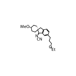 CCOCCCc1ccc2c(c1)/C(=N\C#N)[C@]1(CC[C@H](OC)CC1)C2